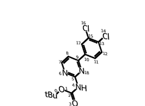 CC(C)(C)OC(=O)Nc1n[c]cc(-c2ccc(Cl)c(Cl)c2)n1